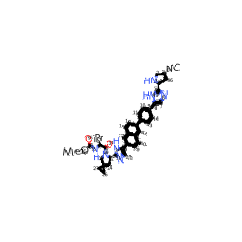 [C-]#[N+]C1CN[C@H](c2ncc(-c3ccc(-c4ccc5cc(-c6cnc([C@@H]7CC8(CC8)CN7C(=O)[C@@H](NC(=O)OC)C(C)C)[nH]6)ccc5c4)cc3)[nH]2)C1